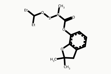 CCC(CC)OSN(C)C(=O)Oc1cccc2c1OC(C)(C)C2